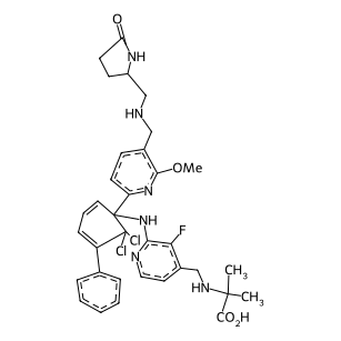 COc1nc(C2(Nc3nccc(CNC(C)(C)C(=O)O)c3F)C=CC=C(c3ccccc3)C2(Cl)Cl)ccc1CNCC1CCC(=O)N1